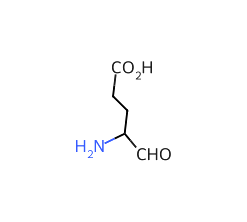 NC(C=O)CCC(=O)O